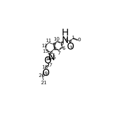 C=CC(=O)Nc1ccc2c(c1)CCCC2=NOCCOCC